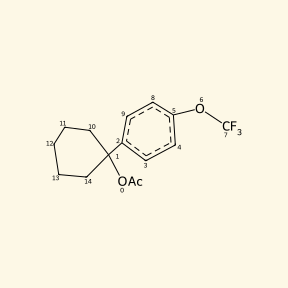 CC(=O)OC1(c2ccc(OC(F)(F)F)cc2)CCCCC1